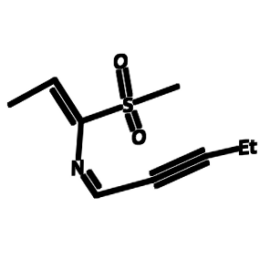 C/C=C(\N=C/C#CCC)S(C)(=O)=O